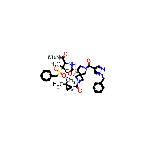 CNC(=O)[C@@H](NC(=O)[C@@H]1CN(C(=O)c2cnn(Cc3ccccc3)c2)CC12CN(C(=O)[C@H]1CC1(C)C)C2)C(C)(C)S(=O)(=O)Cc1ccccc1